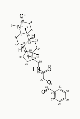 CN1C(=O)CC[C@@]2(C)C1CC[C@@H]1[C@H]2CC[C@]2(C)C(CNC(=O)COC(=O)c3ccccc3)CC[C@@H]12